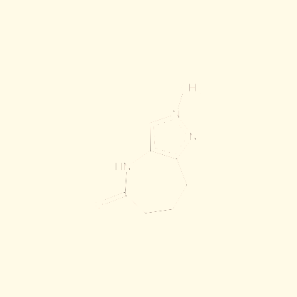 Cn1cc2c(n1)CCCC(=O)N2